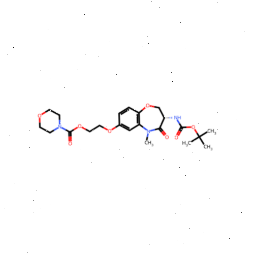 CN1C(=O)[C@@H](NC(=O)OC(C)(C)C)COc2ccc(OCCOC(=O)N3CCOCC3)cc21